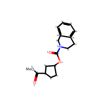 COC(=O)C1CCC(OC(=O)N2CCc3ccccc3C2)C1